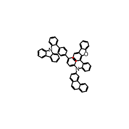 c1ccc(N(c2ccc(-c3ccc(-c4ccccc4-n4c5ccccc5c5ccccc54)cc3)cc2)c2ccc3ccc4ccccc4c3c2)c(-c2cccc3c2oc2ccccc23)c1